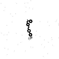 CCOc1ccc(C2CCC(CCc3ccc(C[C@@H](C)c4ccccc4)cc3)CC2)cc1